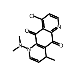 CC1C=CN(N(C)C)C2=C1C(=O)c1nccc(Cl)c1C2=O